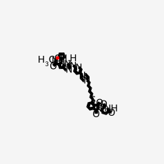 CN(C)C(=O)c1cc2cnc(Nc3ccc(N4CCN(CCCCCCSc5cccc6c5C(=O)N(C5CCC(=O)NC5=O)C6=O)CC4)cn3)nc2n1C1CCCC1